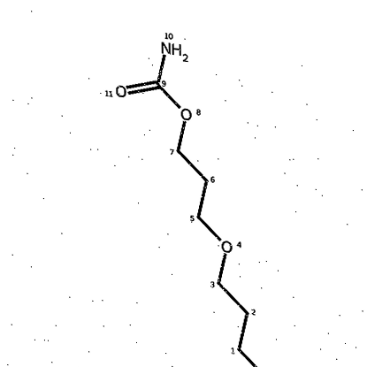 CCCCOCCCOC(N)=O